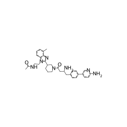 CC(=O)NCCn1c(C2CCCN(C(=O)CC(N)Cc3ccc(-c4ccc(N)nc4)cc3)C2)nc2c(C)cccc21